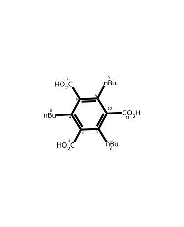 CCCCc1c(C(=O)O)c(CCCC)c(C(=O)O)c(CCCC)c1C(=O)O